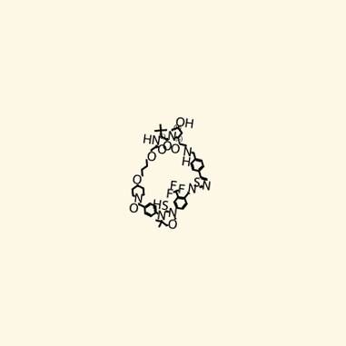 CC(C)(C)[C@H](NC(=O)COCCCCOC1CCN(C(=O)c2ccc(N3C(S)N(c4ccc(C#N)c(C(F)(F)F)c4)COCC3(C)C)cc2)CC1)C(=O)N1C[C@H](O)C[C@H]1C(=O)CNCc1ccc(-c2cncs2)cc1